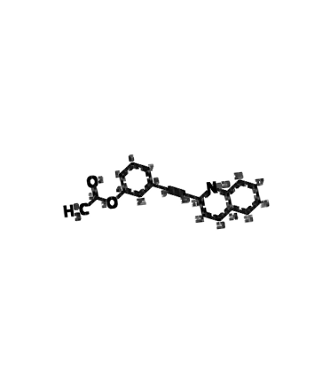 CC(=O)Oc1cccc(C#Cc2ccc3ccccc3n2)c1